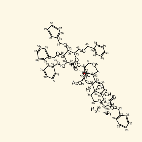 CC(=O)O[C@@H]1C[C@@]23COC[C@@](C)([C@@H]2CC[C@H]2C3=CC[C@@]3(C)[C@H](C(=O)OCc4ccccc4)[C@@](C)([C@H](C)C(C)C)CC[C@]23C)[C@H]1O[C@@H]1OC(COCc2ccccc2)[C@H](OCc2ccccc2)[C@H](OCc2ccccc2)C1OCc1ccccc1